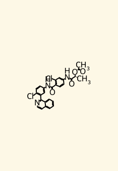 CC(=O)O[C@H](C)C(=O)Nc1ccc(C(=O)Nc2ccc(Cl)c(-c3nccc4ccccc34)c2)c(Cl)c1